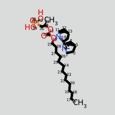 C1CN2CCC1CC2.C1CN2CCC1CC2.CCCCCCCCCCCCCCOC(=O)O[C@H](C)CP(=O)(O)O